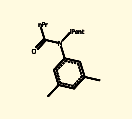 CCCC(=O)N(c1cc(C)cc(C)c1)C(C)CCC